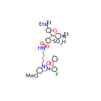 CC/N=c1/ccc2c(-c3ccc(S(=O)(=O)NCCCCCCN4C(=O)N(c5cc(F)ccc5Oc5ccccc5)Cc5cc(OC)ccc54)cc3S(=O)(=O)O)c3ccc(N(CC)CC)cc3oc-2c1